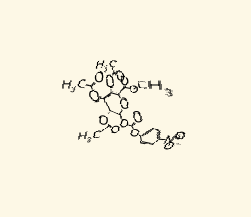 COC(=O)[C@H]1O[C@@H](OC(=O)Oc2ccc([N+](=O)[O-])cc2)[C@H](OC(C)=O)[C@@H](OC(C)=O)[C@@H]1OC(C)=O